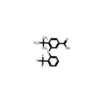 CC(C)(C)c1ccc(C(=O)O)cc1Oc1ccccc1C(F)(F)F